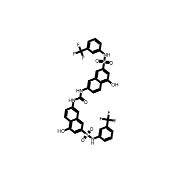 O=C(Nc1ccc2c(O)cc(S(=O)(=O)Nc3cccc(C(F)(F)F)c3)cc2c1)Nc1ccc2c(O)cc(S(=O)(=O)Nc3cccc(C(F)(F)F)c3)cc2c1